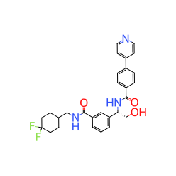 O=C(NCC1CCC(F)(F)CC1)c1cccc([C@@H](CO)NC(=O)c2ccc(-c3ccncc3)cc2)c1